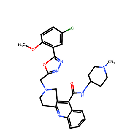 COc1ccc(Cl)cc1-c1nnc(CN2CCc3nc4ccccc4c(C(=O)NC4CCN(C)CC4)c3C2)o1